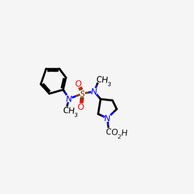 CN(c1ccccc1)S(=O)(=O)N(C)C1CCN(C(=O)O)C1